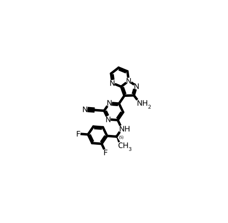 C[C@H](Nc1cc(-c2c(N)nn3cccnc23)nc(C#N)n1)c1ccc(F)cc1F